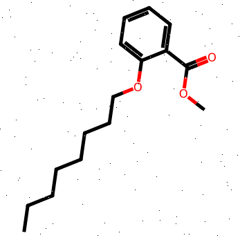 CCCCCCCCOc1ccccc1C(=O)OC